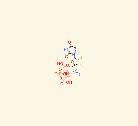 C[C@H]1[C@@H](F)[C@H](n2ccc(=O)[nH]c2=O)O[C@]1(CN)COP(=O)(O)OP(=O)(O)OP(=O)(O)O